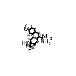 COc1ccc(CC(CN)N2CCC(O)(C(F)(F)F)CC2)cc1.N